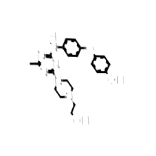 Cc1nc(Nc2ccc(Oc3ccc(O)cc3)cc2)nc(N2CCN(CCO)CC2)n1